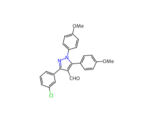 COc1ccc(-c2c(C=O)c(-c3cccc(Cl)c3)nn2-c2ccc(OC)cc2)cc1